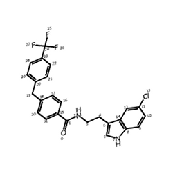 O=C(NCCc1c[nH]c2ccc(Cl)cc12)c1ccc(Cc2ccc(C(F)(F)F)cc2)cc1